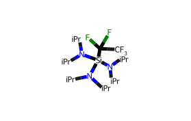 CC(C)N(C(C)C)[Si](N(C(C)C)C(C)C)(N(C(C)C)C(C)C)C(F)(F)C(F)(F)F